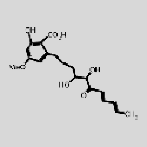 C/C=C/C=C/C(=O)C(O)C(O)CCCc1cc(OC)cc(O)c1C(=O)O